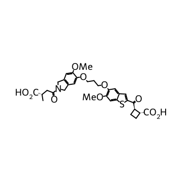 COc1cc2c(cc1OCCCOc1cc3cc(C(=O)[C@@H]4CC[C@H]4C(=O)O)sc3cc1OC)CN(C(=O)C[C@H](C)C(=O)O)C2